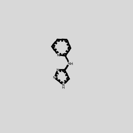 c1ccc(Nc2c[nH]nn2)nc1